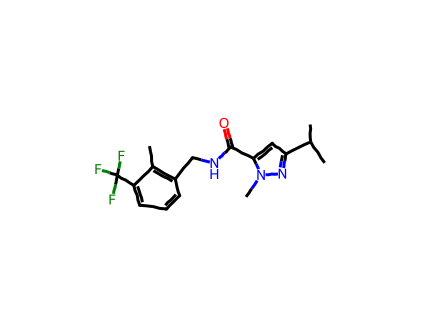 Cc1c(CNC(=O)c2cc(C(C)C)nn2C)cccc1C(F)(F)F